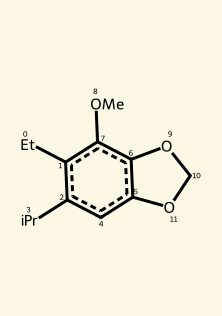 CCc1c(C(C)C)cc2c(c1OC)OCO2